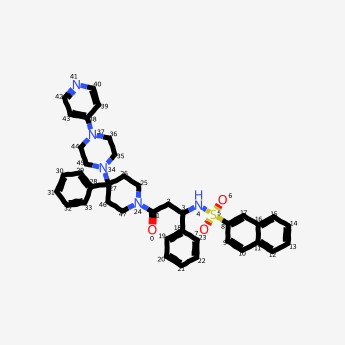 O=C(CC(NS(=O)(=O)c1ccc2ccccc2c1)c1ccccc1)N1CCC(c2ccccc2)(N2CCN(c3ccncc3)CC2)CC1